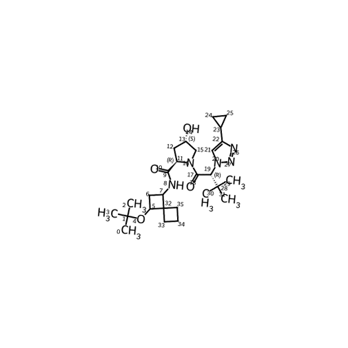 CC(C)(C)OC1CC(NC(=O)[C@H]2C[C@H](O)CN2C(=O)[C@H](n2cc(C3CC3)nn2)C(C)(C)C)C12CCC2